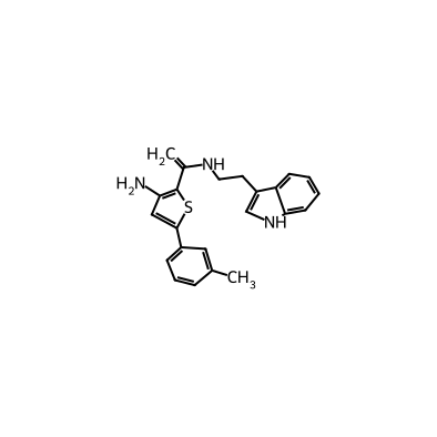 C=C(NCCc1c[nH]c2ccccc12)c1sc(-c2cccc(C)c2)cc1N